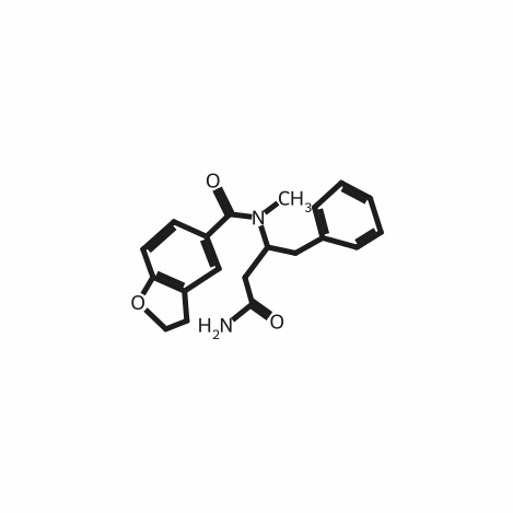 CN(C(=O)c1ccc2c(c1)CCO2)C(CC(N)=O)Cc1ccccc1